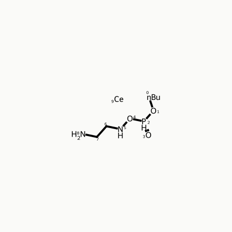 CCCCO[PH](=O)ONCCN.[Ce]